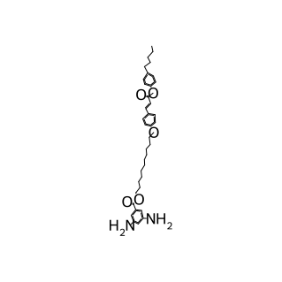 CCCCCc1ccc(OC(=O)C=Cc2ccc(OCCCCCCCCCCCOC(=O)c3cc(N)cc(N)c3)cc2)cc1